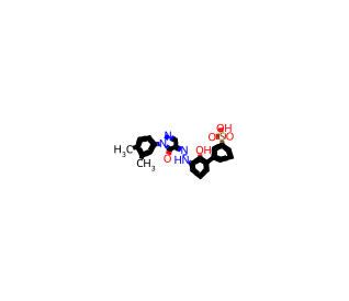 Cc1ccc(N2N=CC(=NNc3cccc(-c4cccc(S(=O)(=O)O)c4)c3O)C2=O)cc1C